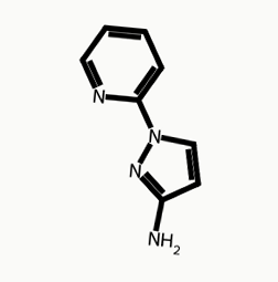 Nc1ccn(-c2ccccn2)n1